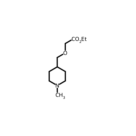 CCOC(=O)COCC1CCN(C)CC1